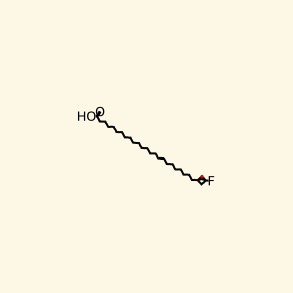 O=C(O)CCCCCCCCCCCCCCC=CCCCCCCCC12CC(F)(C1)C2